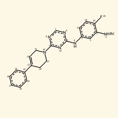 CC(=O)Nc1cc(Nc2ncnc(N3CC=C(c4ccccc4)CC3)n2)ccc1F